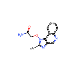 CCCc1nc2cnc3ccccc3c2n1OCC(N)=O